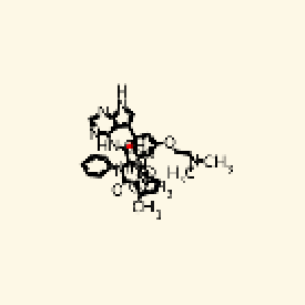 Cc1ccn2nc(C(C)Nc3ncnc4[nH]cc(-c5cc(NS(C)(=O)=O)cc(OCCN(C)C)c5)c34)n(-c3ccccc3)c(=O)c12